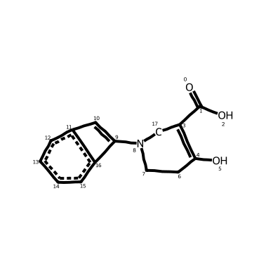 O=C(O)C1=C(O)CCN(C2=Cc3ccccc32)C1